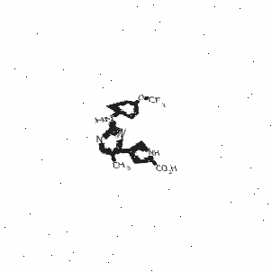 Cc1cnc(Nc2ccc(OC(F)(F)F)cc2)nc1-c1c[nH]c(C(=O)O)c1